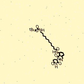 CC(C)(C)OC(=O)NCCCCCCCCCCCC(=O)Nc1cccc2cnn(C3CCC(=O)NC3=O)c(=O)c12